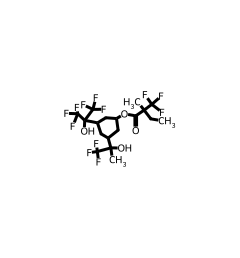 CCC(C)(C(=O)OC1CC(C(C)(O)C(F)(F)F)CC(C(O)(C(F)(F)F)C(F)(F)F)C1)C(F)(F)F